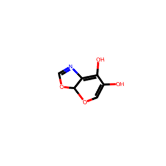 OC1=COC2OC=NC2=C1O